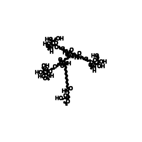 CC(=O)NC1C(OCCOCCNC(=O)CCC(NC(=O)CCC(NC(=O)CCCCCCCCCCC(=O)NC[C@H]2C[C@H](OC(C)C)[C@@H](CO)O2)C(=O)NCCOCCOC2OC(CO)C(O)C(O)C2NC(C)=O)C(=O)NCCOCCOC2OC(CO)C(O)C(O)C2NC(C)=O)OC(CO)C(O)C1O